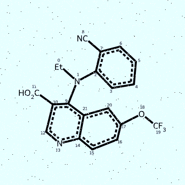 CCN(c1ccccc1C#N)c1c(C(=O)O)cnc2ccc(OC(F)(F)F)cc12